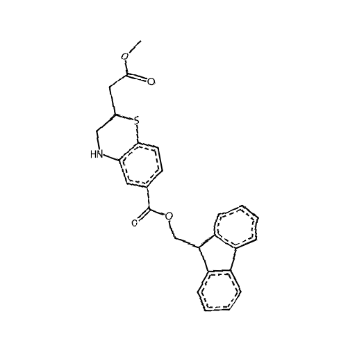 COC(=O)CC1CNc2cc(C(=O)OCC3c4ccccc4-c4ccccc43)ccc2S1